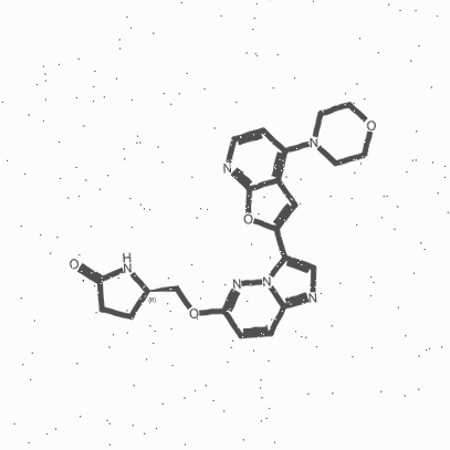 O=C1CC[C@H](COc2ccc3ncc(-c4cc5c(N6CCOCC6)ccnc5o4)n3n2)N1